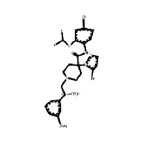 COc1cccc([C@H](CN2CCC(C(=O)Nc3ccc(Cl)cc3OC(F)F)(n3nccc3C(C)C)CC2)C(=O)O)c1